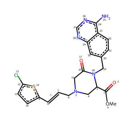 COC(=O)C1CN(C/C=C/c2ccc(Cl)s2)CC(=O)N1Cc1ccc2c(N)ncnc2c1